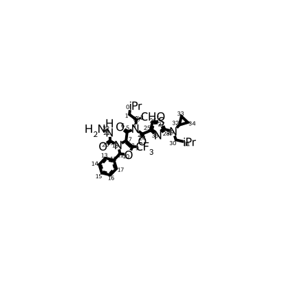 CC(C)C[C@@H]([C]=O)N(C(=O)C1=C(C(F)(F)F)OC(c2ccccc2)N1C(=O)NN)C(=O)c1csc(N(CC(C)C)C2CC2)n1